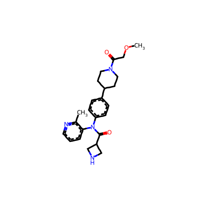 COCC(=O)N1CCC(c2ccc(N(C(=O)C3CNC3)c3cccnc3C)cc2)CC1